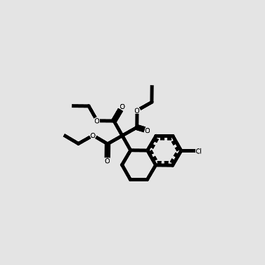 CCOC(=O)C(C(=O)OCC)(C(=O)OCC)C1CCCc2cc(Cl)ccc21